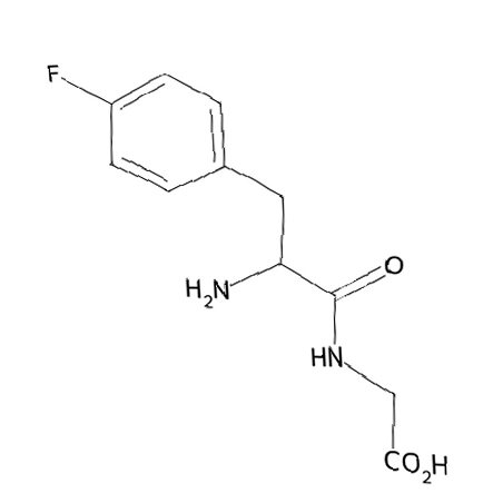 NC(Cc1ccc(F)cc1)C(=O)NCC(=O)O